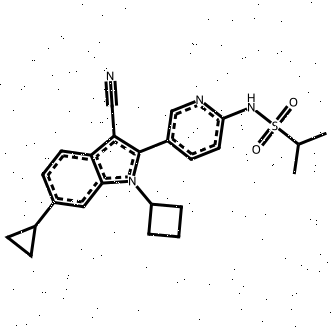 CC(C)S(=O)(=O)Nc1ccc(-c2c(C#N)c3ccc(C4CC4)cc3n2C2CCC2)cn1